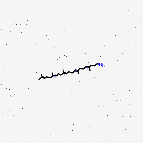 CC(C)=CCC/C(C)=C/CC/C(C)=C/CC/C=C(\C)CC/C=C(\C)CCC=N